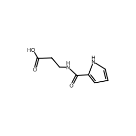 O=C(O)CCNC(=O)c1ccc[nH]1